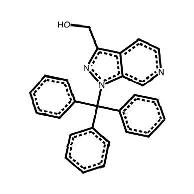 OCc1nn(C(c2ccccc2)(c2ccccc2)c2ccccc2)c2cnccc12